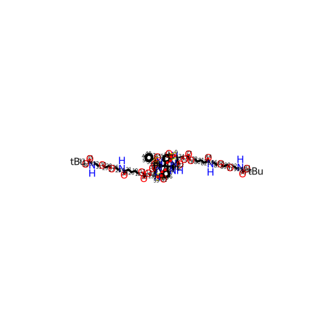 CN1C(=O)[C@@]23C[C@]4([C@]56C[C@@]78SS[C@@](COC(=O)OCCCCC(=O)NCCOCCOCCNC(=O)OC(C)(C)C)(C(=O)N7[C@H]5N(S(=O)(=O)c5ccccc5)c5ccccc56)N(C)C8=O)c5ccccc5N[C@@H]4N2C(=O)[C@]1(COC(=O)OCCCCC(=O)NCCOCCOCCNC(=O)OC(C)(C)C)SS3